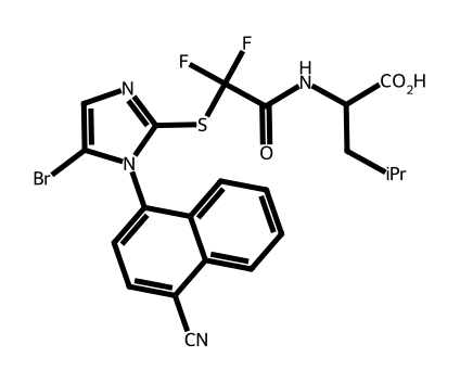 CC(C)CC(NC(=O)C(F)(F)Sc1ncc(Br)n1-c1ccc(C#N)c2ccccc12)C(=O)O